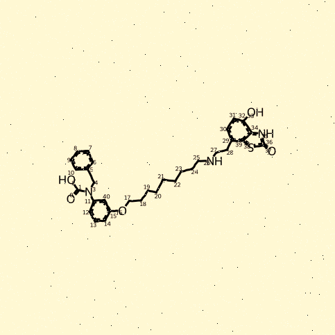 O=C(O)N(Cc1ccccc1)c1cccc(OCCCCCCCCCNCCc2ccc(O)c3[nH]c(=O)sc23)c1